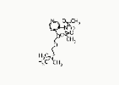 C[Si](C)(C)CCOCOc1ccncc1N(S(C)(=O)=O)S(C)(=O)=O